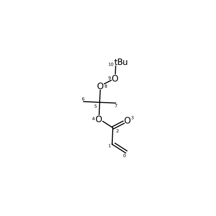 C=CC(=O)OC(C)(C)OOC(C)(C)C